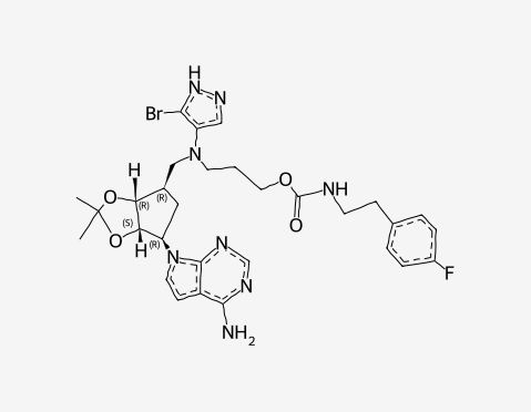 CC1(C)O[C@@H]2[C@@H](CN(CCCOC(=O)NCCc3ccc(F)cc3)c3cn[nH]c3Br)C[C@@H](n3ccc4c(N)ncnc43)[C@@H]2O1